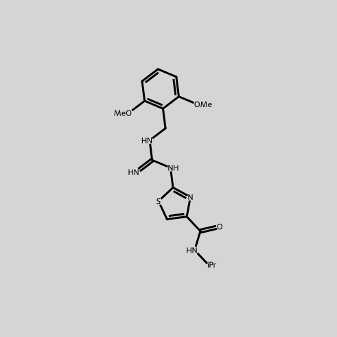 COc1cccc(OC)c1CNC(=N)Nc1nc(C(=O)NC(C)C)cs1